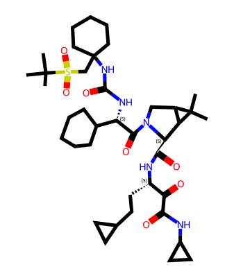 CC1(C)C2CN(C(=O)[C@@H](NC(=O)NC3(CS(=O)(=O)C(C)(C)C)CCCCC3)C3CCCCC3)[C@H](C(=O)N[C@@H](CCC3CC3)C(=O)C(=O)NC3CC3)C21